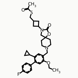 CCOc1cc(-c2ccc(F)cc2)c(C2CC2)cc1CN1CCC2(CC1)CN(C1CC(CSC(C)=O)C1)C(=O)O2